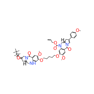 C=CCOC(=O)N1C[C@@H]2CC(c3ccc(OC)cc3)=CN2C(=O)c2cc(OC)c(OCCCCCOc3cc4c(cc3OC)C(=O)N3C[C@H](O[Si](C)(C)C(C)(C)C)C[C@H]3CN4)cc21